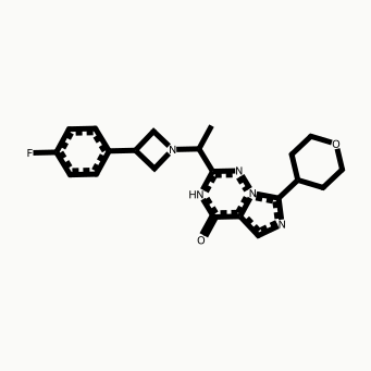 CC(c1nn2c(C3CCOCC3)ncc2c(=O)[nH]1)N1CC(c2ccc(F)cc2)C1